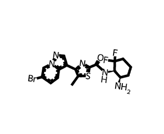 Cc1sc(C(=O)N[C@@H]2[C@H](N)CCCC2(F)F)nc1-c1cnn2cc(Br)ccc12